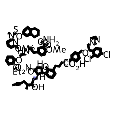 CC#CCC(C)[C@H](O)/C=C/[C@@H]1[C@H]2c3cccc(CCCC(=O)O)c3O[C@H]2C[C@H]1O[N+](=O)[O-].CCOc1ccccc1OCCN[C@H](C)Cc1ccc(OC)c(S(N)(=O)=O)c1.COc1cccc(N(C)C(=S)Oc2ccc3c(c2)CCCC3)n1.Clc1ccc(COC(Cn2ccnc2)c2ccc(Cl)cc2Cl)cc1